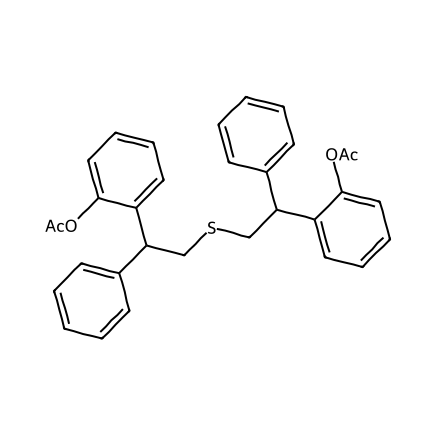 CC(=O)Oc1ccccc1C(CSCC(c1ccccc1)c1ccccc1OC(C)=O)c1ccccc1